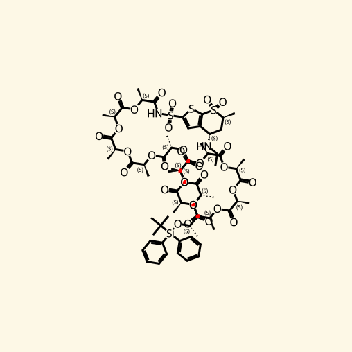 CCN[C@H]1C[C@H](C)S(=O)(=O)c2sc(S(=O)(=O)NC(=O)[C@H](C)OC(=O)[C@H](C)OC(=O)[C@H](C)OC(=O)[C@H](C)OC(=O)[C@H](C)OC(=O)[C@H](C)OC(=O)[C@H](C)OC(=O)[C@H](C)OC(=O)[C@H](C)OC(=O)[C@H](C)OC(=O)[C@H](C)OC(=O)[C@H](C)OC(=O)[C@H](C)OC(=O)[C@H](C)O[Si](c3ccccc3)(c3ccccc3)C(C)(C)C)cc21